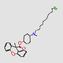 CN(CCCCCCCCCBr)[C@H]1CC[C@H](OC(=O)C2(C)c3ccccc3Oc3ccccc32)CC1